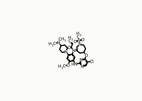 C=CC(=O)Nc1cc(Nc2ncc(Cl)c(OC3CCCN(S(C)(=O)=O)CC3)n2)c(OC)cc1N1CCC(N(C)C)CC1